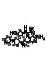 CCc1nc2c(N)ncc(-c3cnn(C4CCN(c5cccnc5)CC4)c3)c2nc1N[C@@H]1CC[C@H](O)C1